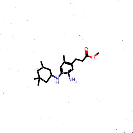 COC(=O)CCc1cc(N)c(NC2CC(C)CC(C)(C)C2)cc1C